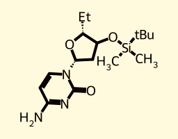 CC[C@H]1O[C@@H](n2ccc(N)nc2=O)CC1O[Si](C)(C)C(C)(C)C